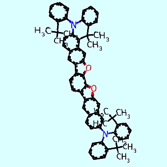 CC(C)(C)c1ccccc1N(c1ccc2cc3c(cc2c1)oc1c3ccc2c3cc4ccc5c(c4cc3oc21)C(C)(C)c1ccccc1N5c1ccccc1C(C)(C)C)c1ccccc1C(C)(C)C